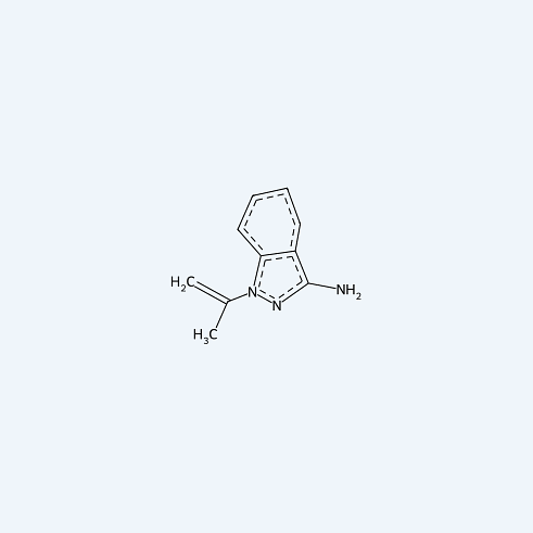 C=C(C)n1nc(N)c2ccccc21